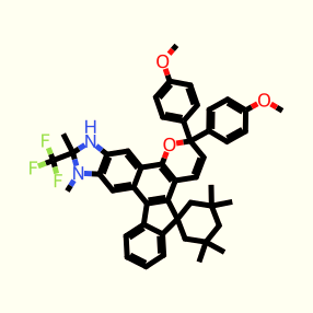 COc1ccc(C2(c3ccc(OC)cc3)C=Cc3c4c(c5cc6c(cc5c3O2)NC(C)(C(F)(F)F)N6C)-c2ccccc2C42CC(C)(C)CC(C)(C)C2)cc1